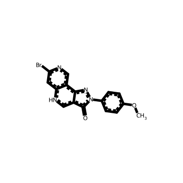 COc1ccc(-n2nc3c4cnc(Br)cc4[nH]cc-3c2=O)cc1